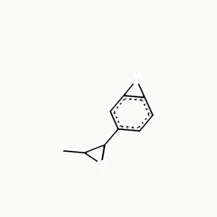 CC1OC1c1ccc2c(c1)O2